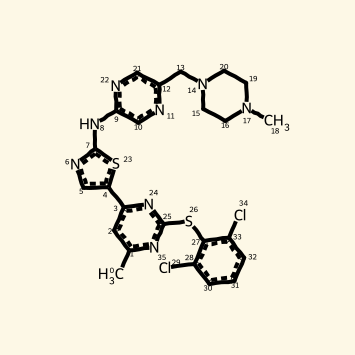 Cc1cc(-c2cnc(Nc3cnc(CN4CCN(C)CC4)cn3)s2)nc(Sc2c(Cl)cccc2Cl)n1